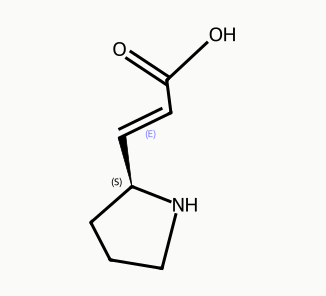 O=C(O)/C=C/[C@@H]1CCCN1